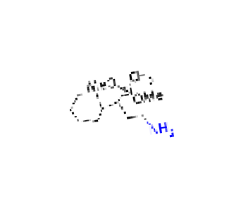 CO[Si](C)(OC)C(CCN)C1CCCCC1